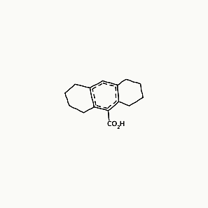 O=C(O)c1c2c(cc3c1CCCC3)CCCC2